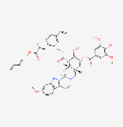 C=C(C)C(=O)OC.C=CC=C.C=Cc1ccccc1.COC(=O)[C@H]1[C@H]2C[C@@H]3c4[nH]c5cc(OC)ccc5c4CCN3C[C@H]2C[C@@H](OC(=O)c2cc(OC)c(OC)c(OC)c2)[C@@H]1OC